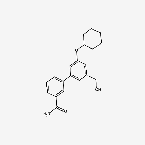 NC(=O)c1cccc(-c2cc(CO)cc(OC3CCCCC3)c2)c1